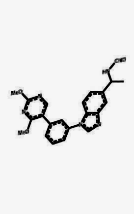 COc1ncc(-c2cccc(-n3cnc4cc(C(C)NC=O)ccc43)c2)c(OC)n1